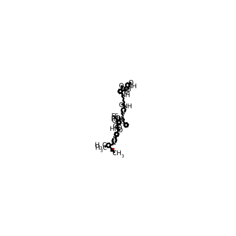 CC1(C)CCC(CN2CCN(c3ccc(C(=O)NS(=O)(=O)c4ccc(N[C@H](CCN5CCC(NC(=O)CCCCNc6cccc7c6C(=O)N(C6CCC(=O)NC6=O)C7=O)CC5)CSc5ccccc5)c(S(=O)(=O)C(F)(F)F)c4)cc3)CC2)=C(C23CC(C)(C2)C3)C1